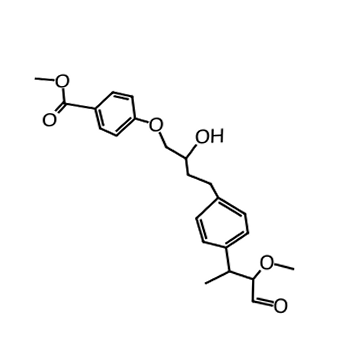 COC(=O)c1ccc(OCC(O)CCc2ccc(C(C)C(C=O)OC)cc2)cc1